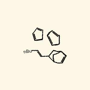 C1=CCC=C1.C1=CCC=C1.CCCCC=CC1CC2C=CC1C2